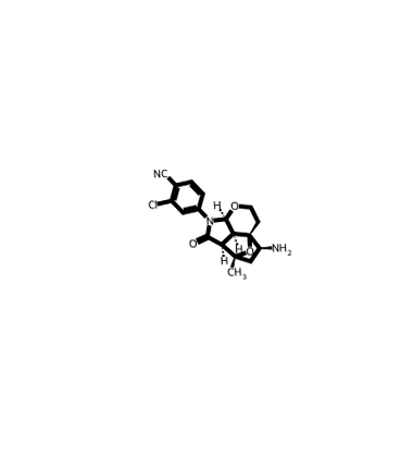 C[C@@]12C[C@H](N)[C@]3(CCO[C@H]4[C@@H]3[C@@H]1C(=O)N4c1ccc(C#N)c(Cl)c1)O2